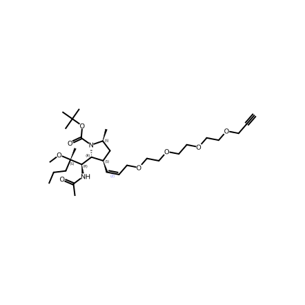 C#CCOCCOCCOCCOC/C=C\[C@@H]1C[C@H](C)N(C(=O)OC(C)(C)C)[C@H]1[C@@H](NC(C)=O)[C@](C)(CCC)OC